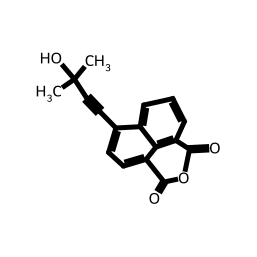 CC(C)(O)C#Cc1ccc2c3c(cccc13)C(=O)OC2=O